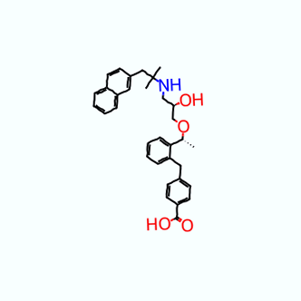 C[C@@H](OC[C@H](O)CNC(C)(C)Cc1ccc2ccccc2c1)c1ccccc1Cc1ccc(C(=O)O)cc1